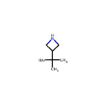 CC(C)(C)C(C)(C)C1CNC1